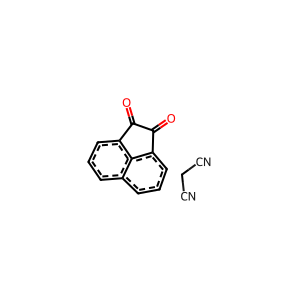 N#CCC#N.O=C1C(=O)c2cccc3cccc1c23